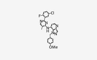 COc1ccc(Cn2ncc3nccc(Nc4nc(-c5cc(Cl)ccc5F)ncc4C)c32)cc1